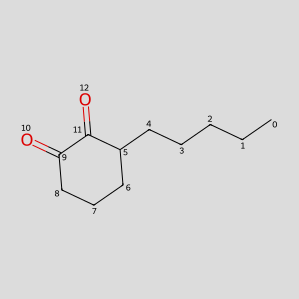 CCCCCC1CCCC(=O)C1=O